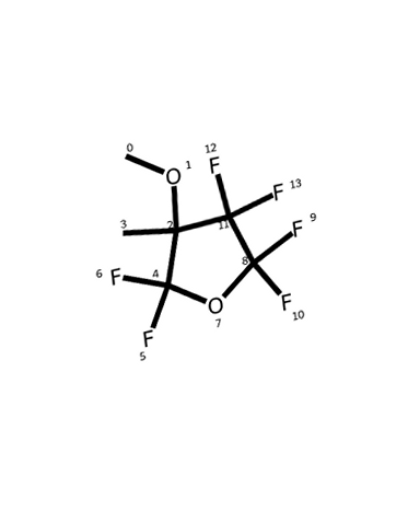 COC1(C)C(F)(F)OC(F)(F)C1(F)F